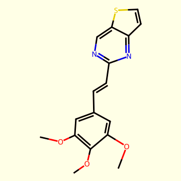 COc1cc(C=Cc2ncc3sccc3n2)cc(OC)c1OC